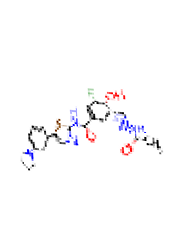 CC(=O)N/N=C/c1cc(C(=O)Nc2ncc(-c3cccc(N4CCCC4)c3)s2)cc(F)c1O